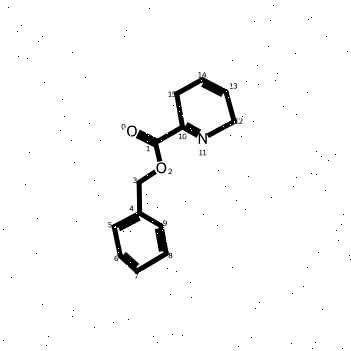 O=C(OCc1ccccc1)C1=NCC=CC1